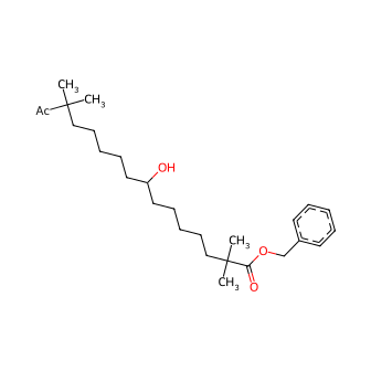 CC(=O)C(C)(C)CCCCCC(O)CCCCCC(C)(C)C(=O)OCc1ccccc1